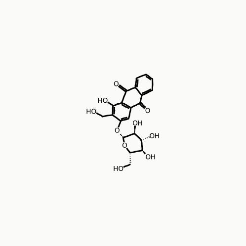 O=C1c2ccccc2C(=O)c2c1cc(O[C@H]1O[C@@H](CO)[C@H](O)[C@@H](O)[C@@H]1O)c(CO)c2O